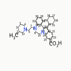 CC1CCCN(CCN2CCn3c(c(C4CCCCC4)c4ccc(C(=O)O)cc43)-c3ccccc32)C1